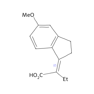 CC/C(C(=O)O)=C1\CCc2cc(OC)ccc21